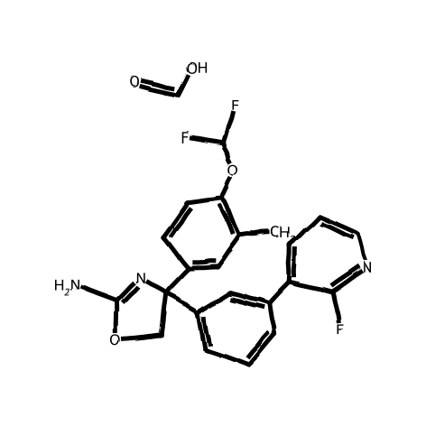 Cc1cc(C2(c3cccc(-c4cccnc4F)c3)COC(N)=N2)ccc1OC(F)F.O=CO